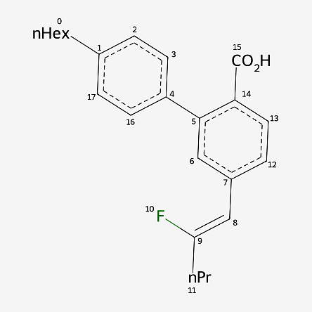 CCCCCCc1ccc(-c2cc(C=C(F)CCC)ccc2C(=O)O)cc1